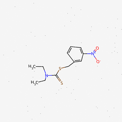 CCN(CC)C(=S)SCc1cccc([N+](=O)[O-])c1